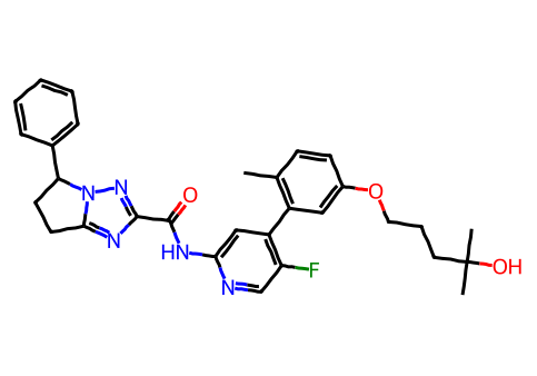 Cc1ccc(OCCCC(C)(C)O)cc1-c1cc(NC(=O)c2nc3n(n2)C(c2ccccc2)CC3)ncc1F